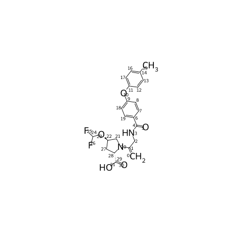 C=C(CNC(=O)c1ccc(Oc2ccc(C)cc2)cc1)N1C[C@H](OC(F)F)C[C@H]1C(=O)O